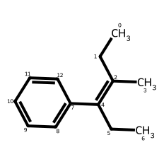 CCC(C)=C(CC)c1ccccc1